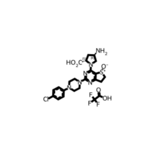 N[C@@H]1C[C@@H](C(=O)O)N(c2nc(N3CCN(c4ccc(Cl)cc4)CC3)nc3c2[S+]([O-])CC3)C1.O=C(O)C(F)(F)F